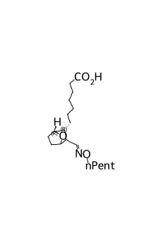 CCCCCON=CC1C2CC[C@@H](O2)[C@@H]1CCCCCCC(=O)O